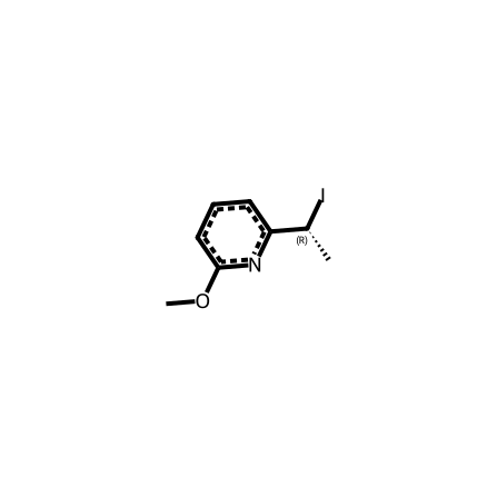 COc1cccc([C@@H](C)I)n1